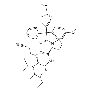 CCCOC(NC(=O)[C@@H]1CCCN1C(=O)C(c1ccccc1)(c1ccc(OC)cc1)c1ccc(OC)cc1)P(OCCC#N)N(C(C)C)C(C)C